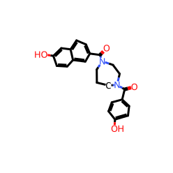 O=C(c1ccc(O)cc1)N1CCCN(C(=O)c2ccc3cc(O)ccc3c2)CC1